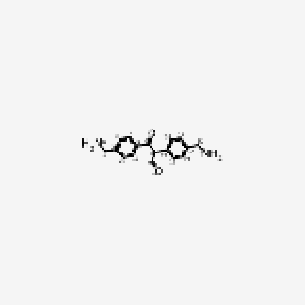 NCc1ccc(C(=O)C(C=O)c2ccc(CN)cc2)cc1